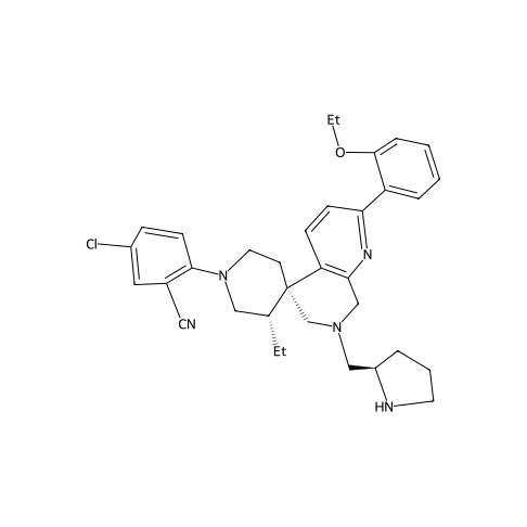 CCOc1ccccc1-c1ccc2c(n1)CN(C[C@H]1CCCN1)C[C@]21CCN(c2ccc(Cl)cc2C#N)C[C@H]1CC